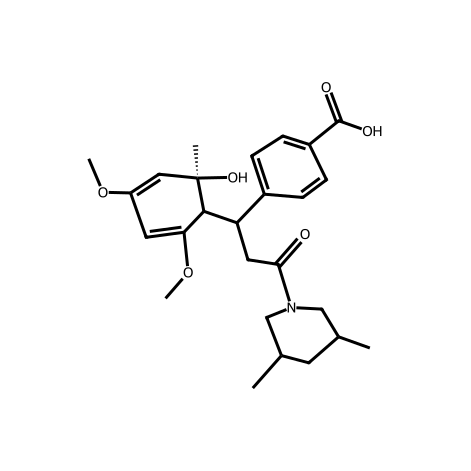 COC1=C[C@@](C)(O)C(C(CC(=O)N2CC(C)CC(C)C2)c2ccc(C(=O)O)cc2)C(OC)=C1